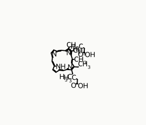 CCC(=O)O.CCC(=O)O.CCC1=C(CC)c2nc1cc1ccc(cc3nc(cc4c(C)c(C)c(c2C)n4C)C=C3)[nH]1